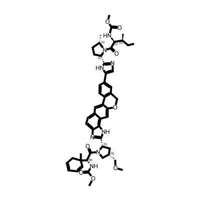 CC[C@H](C)[C@H](NC(=O)OC)C(=O)N1[C@@H](C)CC[C@H]1c1ncc(-c2ccc3c(c2)COc2cc4c(ccc5nc([C@@H]6C[C@H](COC)CN6C(=O)[C@H](NC(=O)OC)C6(C)C=CC=CC6)[nH]c54)cc2-3)[nH]1